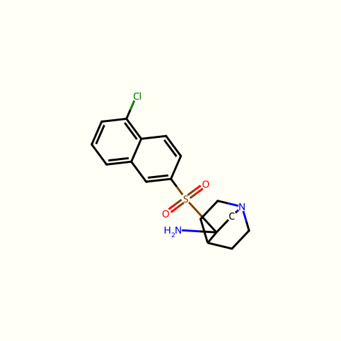 NC1(S(=O)(=O)c2ccc3c(Cl)cccc3c2)CN2CCC1CC2